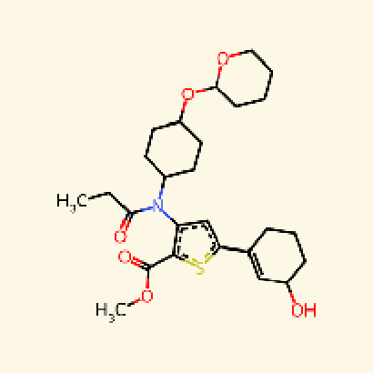 CCC(=O)N(c1cc(C2=CC(O)CCC2)sc1C(=O)OC)C1CCC(OC2CCCCO2)CC1